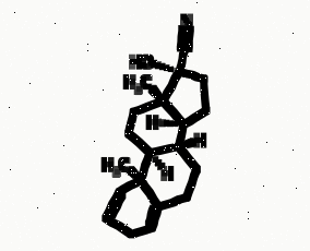 C[C@]12C=CCC=C1CC[C@@H]1[C@@H]2CC[C@@]2(C)[C@H]1CC[C@]2(O)C#N